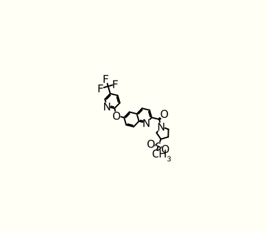 CS(=O)(=O)C1CCN(C(=O)c2ccc3cc(Oc4ccc(C(F)(F)F)cn4)ccc3n2)C1